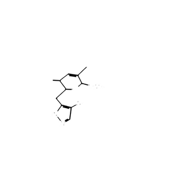 COC1OC(Cc2[nH]ncc2[N+](=O)[O-])C(C)C=C1C